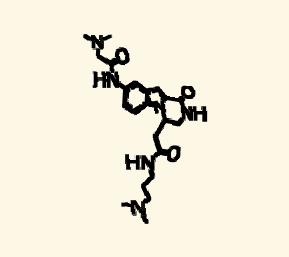 CN(C)CCCNC(=O)CC1CNC(=O)c2cc3cc(NC(=O)CN(C)C)ccc3n21